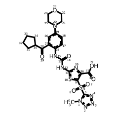 Cn1nnnc1S(=O)(=O)c1sc(NC(=O)Nc2ccc(N3CCOCC3)cc2C(=O)C2CCCC2)nc1C(=O)O